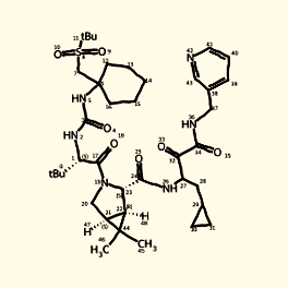 CC(C)(C)[C@H](NC(=O)NC1(CS(=O)(=O)C(C)(C)C)CCCCC1)C(=O)N1C[C@H]2[C@@H]([C@H]1C(=O)NC(CC1CC1)C(=O)C(=O)NCc1cccnc1)C2(C)C